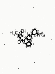 Cc1cc(C(=O)N2Cc3ccccc3C3(CCN(C4CCCC/C(=N\C=O)C4)CC3)C2)nn1C